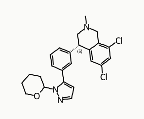 CN1Cc2c(Cl)cc(Cl)cc2[C@H](c2cccc(-c3ccnn3C3CCCCO3)c2)C1